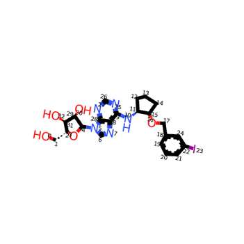 OC[C@H]1OC(n2cnc3c(N[C@H]4CCCC4OCc4cccc(I)c4)ncnc32)[C@H](O)[C@@H]1O